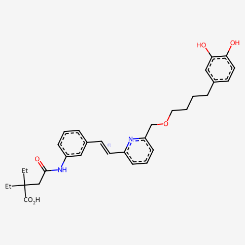 CCC(CC)(CC(=O)Nc1cccc(/C=C/c2cccc(COCCCCc3ccc(O)c(O)c3)n2)c1)C(=O)O